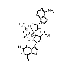 C[C@H](OP(=O)(O)O[C@@H]1CC(CO)O[C@H]1n1cnc2c(=O)[nH]c(N)nc21)[C@@H]1OC(n2cnc3c(N)ncnc32)[C@H](O)[C@@H]1O